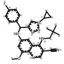 COc1cc(NC(c2ccc(F)cc2)c2cn(C3CC3)nn2)cc2c(NCC(C)(C)C)c(C#N)cnc12